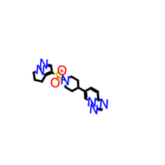 O=S(=O)(c1cnn2c1CCC2)N1CCC(c2ccc3ncnn3c2)CC1